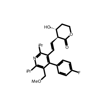 COCc1c(C(C)C)nc(C(C)C)c(C=C[C@@H]2C(=O)OCC[C@H]2O)c1-c1ccc(F)cc1